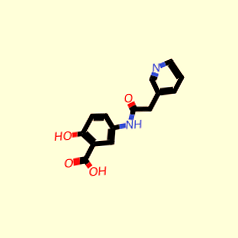 O=C(Cc1cccnc1)Nc1ccc(O)c(C(=O)O)c1